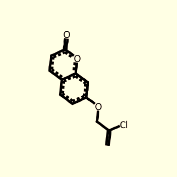 C=C(Cl)COc1ccc2ccc(=O)oc2c1